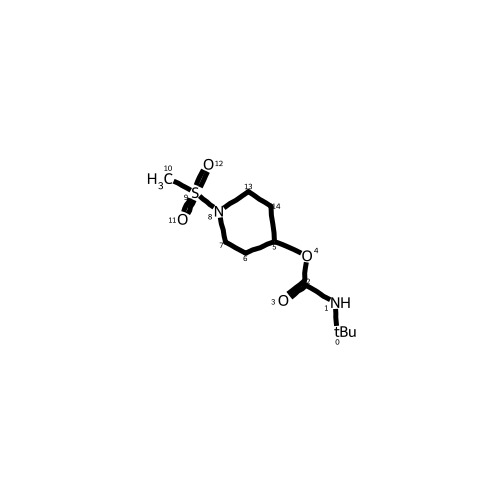 CC(C)(C)NC(=O)OC1CCN(S(C)(=O)=O)CC1